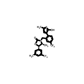 Cc1cc([C@H]2OC(=O)N(Cc3cc(C(F)(F)F)ccc3-c3cc(C)sc3O)[C@H]2C)cc(C(F)(F)F)c1